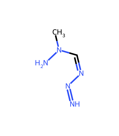 CN(N)/C=N\N=N